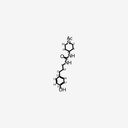 CC(=O)N1CCC(NC(=O)NCCCc2ccc(O)cc2)CC1